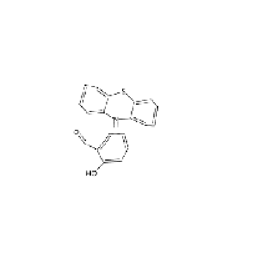 O=Cc1ccccc1O.c1ccc2c(c1)Nc1ccccc1S2